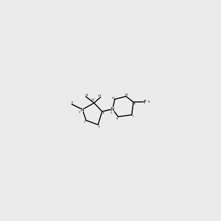 CN1CCC(N2CCC(F)CC2)C1(C)C